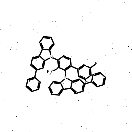 Fc1cc(F)cc(-c2ccc(-n3c4ccccc4c4ccc(-c5ccccc5)cc43)c(C(F)(F)F)c2-n2c3ccccc3c3ccc(-c4ccccc4)cc32)c1